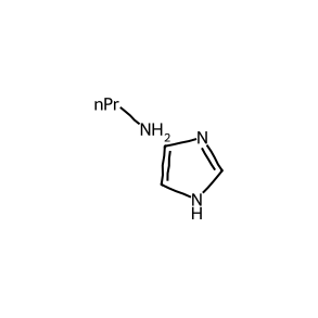 CCCN.c1c[nH]cn1